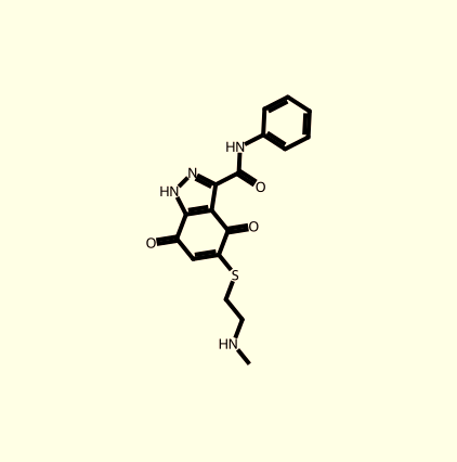 CNCCSC1=CC(=O)c2[nH]nc(C(=O)Nc3ccccc3)c2C1=O